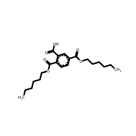 CCCCCCOC(=O)c1ccc(C(=O)OCCCCCC)c(C(=O)O)c1